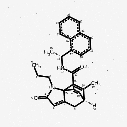 CCCN1C(=O)C=C2C[C@H]3C=C(C(=O)N[C@H](C)c4cccc5ccccc45)C21C=C3C